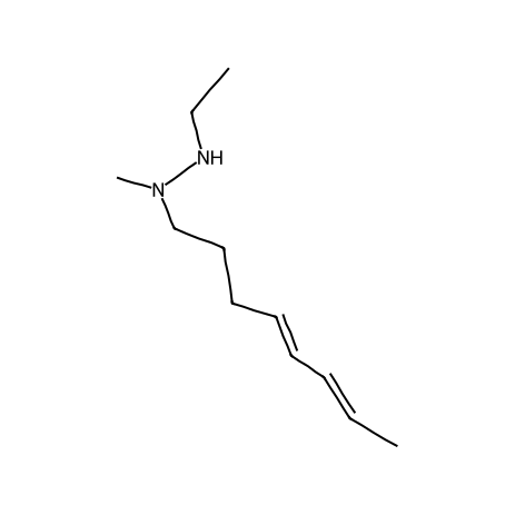 C/C=C/C=C/CCCN(C)NCC